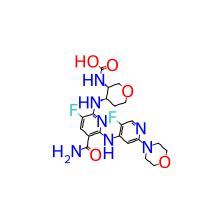 NC(=O)c1cc(F)c(N[C@@H]2CCOC[C@@H]2NC(=O)O)nc1Nc1cc(N2CCOCC2)ncc1F